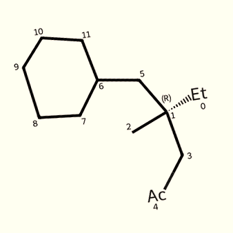 CC[C@@](C)(CC(C)=O)CC1CCCCC1